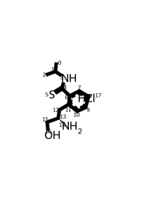 CC(C)NC(=S)c1ccccc1C[C@H](N)CO.Cl